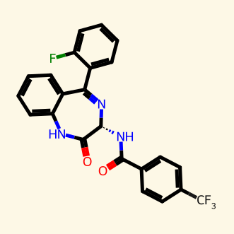 O=C(N[C@H]1N=C(c2ccccc2F)c2ccccc2NC1=O)c1ccc(C(F)(F)F)cc1